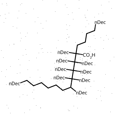 CCCCCCCCCCCCCCCCC(CCCCCCCCCC)C(CCCCCCCCCC)(CCCCCCCCCC)C(CCCCCCCCCC)(CCCCCCCCCC)C(CCCCCCCCCC)(CCCCCCCCCC)C(CCCCCCCCCC)(CCCCCCCCCCCCCC)C(=O)O